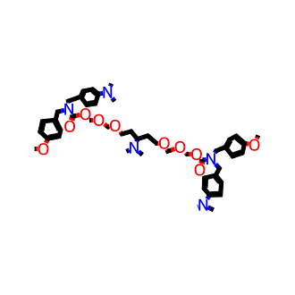 COc1ccc(CN(Cc2ccc(N(C)C)cc2)C(=O)OCOCOCCC(CCOCOCOC(=O)N(Cc2ccc(OC)cc2)Cc2ccc(N(C)C)cc2)N(C)C)cc1